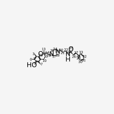 Cc1c(C)c2c(c(C)c1O)CCC(C)(CCN1CCN(CCCNC(=O)C=Cc3ccccc3)CC1)O2